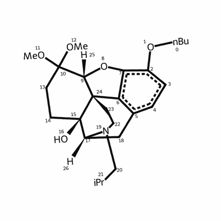 CCCCOc1ccc2c3c1O[C@H]1C(OC)(OC)CC[C@@]4(O)[C@@H](C2)N(CC(C)C)CC[C@]314